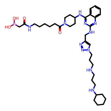 O=C(CP(O)O)NCCCCCC(=O)N1CCC(Nc2nc(NCc3cn(CCCNCCCNC4CCCCC4)nn3)nc3ccccc23)CC1